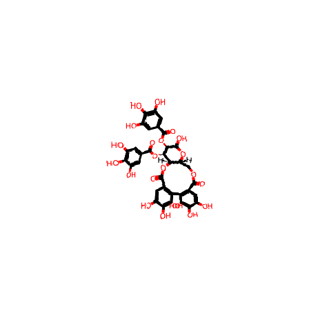 O=C(O[C@H]1[C@@H]2OC(=O)c3cc(O)c(O)c(O)c3-c3c(cc(O)c(O)c3O)C(=O)OC[C@H]2OC(O)[C@@H]1OC(=O)c1cc(O)c(O)c(O)c1)c1cc(O)c(O)c(O)c1